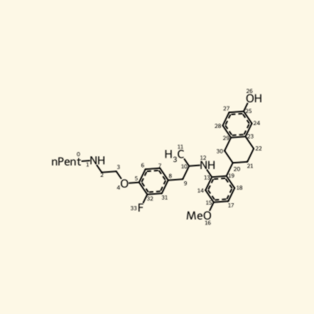 CCCCCNCCOc1ccc(CC(C)Nc2cc(OC)ccc2C2CCc3cc(O)ccc3C2)cc1F